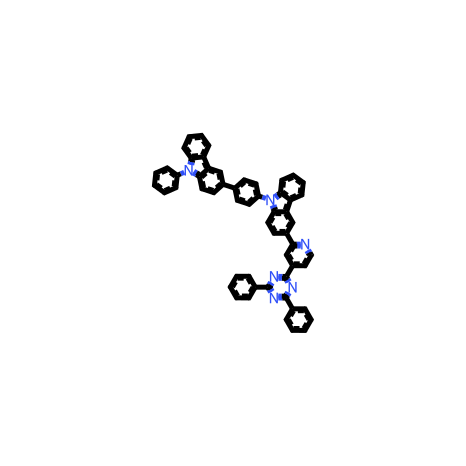 c1ccc(-c2nc(-c3ccccc3)nc(-c3ccnc(-c4ccc5c(c4)c4ccccc4n5-c4ccc(-c5ccc6c(c5)c5ccccc5n6-c5ccccc5)cc4)c3)n2)cc1